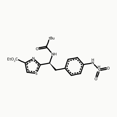 CCOC(=O)c1csc([C@H](Cc2ccc(N[SH](=O)=O)cc2)NC(=O)C(C)(C)C)n1